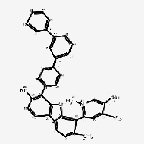 Cc1ccc2c(oc3c(-c4ccc(-c5cccc(-c6ccccc6)c5)cc4)c(C#N)ccc32)c1-c1cc(F)c(C(C)(C)C)c[n+]1C